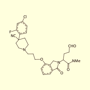 CNC(=O)C(CCC=O)N1Cc2c(OCCCN3CCC(C#N)(c4ccc(Cl)cc4F)CC3)cccc2C1=O